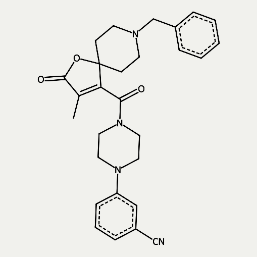 CC1=C(C(=O)N2CCN(c3cccc(C#N)c3)CC2)C2(CCN(Cc3ccccc3)CC2)OC1=O